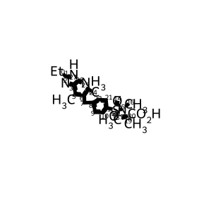 CCc1nc2c(C)c(Cc3ccc(S(=O)(=O)N(C)C(C)(C)C(=O)O)cc3)c(C)nc2[nH]1